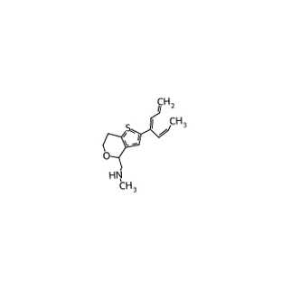 C=C/C=C(\C=C/C)c1cc2c(s1)CCOC2CNC